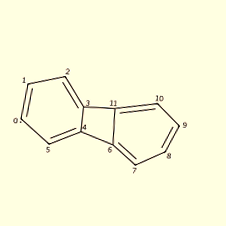 [c]1ccc2c(c1)-c1ccccc1-2